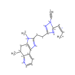 C#Cn1nc(CCc2nc3c(n2C)CC(C)c2ncccc2-3)nc1/C=C\C